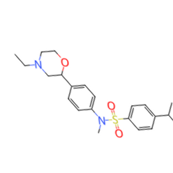 CCN1CCOC(c2ccc(N(C)S(=O)(=O)c3ccc(C(C)C)cc3)cc2)C1